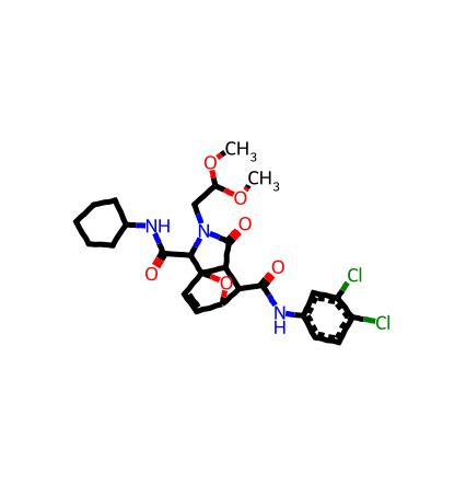 COC(CN1C(=O)C2C(C(=O)Nc3ccc(Cl)c(Cl)c3)C3C=CC2(O3)C1C(=O)NC1CCCCC1)OC